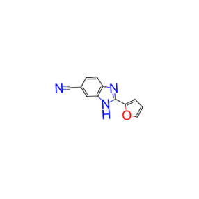 N#Cc1ccc2nc(-c3ccco3)[nH]c2c1